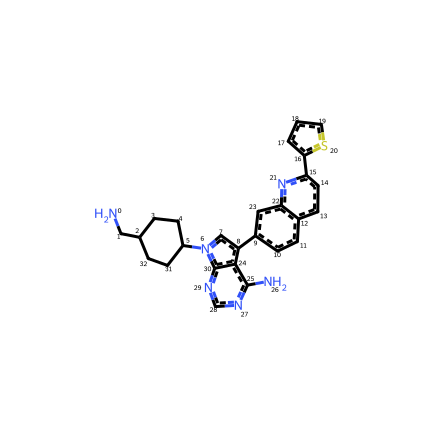 NCC1CCC(n2cc(-c3ccc4ccc(-c5cccs5)nc4c3)c3c(N)ncnc32)CC1